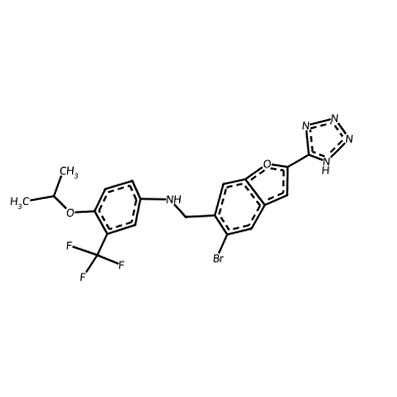 CC(C)Oc1ccc(NCc2cc3oc(-c4nnn[nH]4)cc3cc2Br)cc1C(F)(F)F